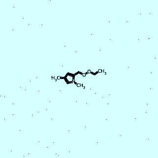 CCOOCc1cc(C)cn1C